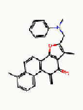 C=C1C(=O)c2c(oc(CN(C)c3ccccc3)c2C)-c2ccc3c(C)cccc3c21